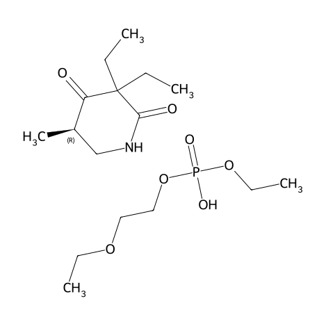 CCC1(CC)C(=O)NC[C@@H](C)C1=O.CCOCCOP(=O)(O)OCC